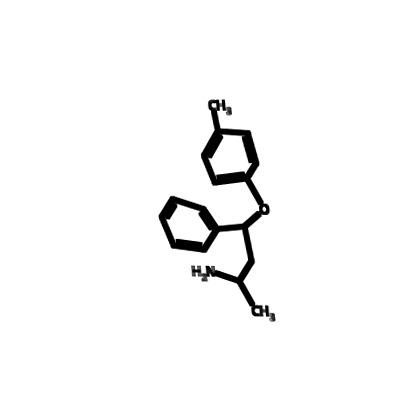 Cc1ccc(OC(CC(C)N)c2ccccc2)cc1